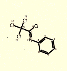 ClC(=Nc1ccccc1)C(Cl)(Cl)Cl